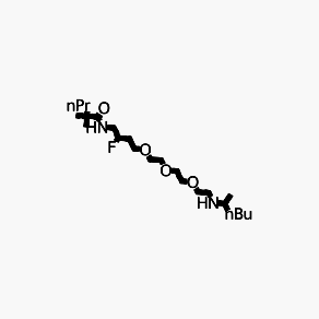 CCCCC(C)NCCOCCOCCOCCC(F)CNC(=O)C(C)(C)CCC